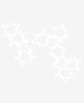 c1ccc(-c2ccc3c(c2)-c2cccc4cccc(c24)O3)c(-c2ccc(-n3c4ccccc4c4cc5ccccc5cc43)cc2)c1